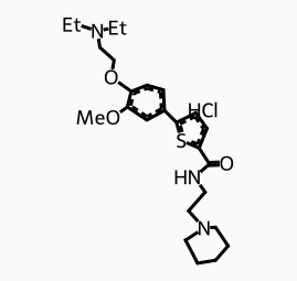 CCN(CC)CCOc1ccc(-c2ccc(C(=O)NCCN3CCCCC3)s2)cc1OC.Cl